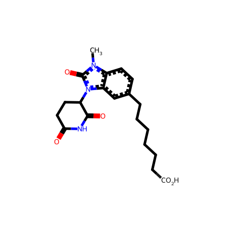 Cn1c(=O)n(C2CCC(=O)NC2=O)c2cc(CCCCCCC(=O)O)ccc21